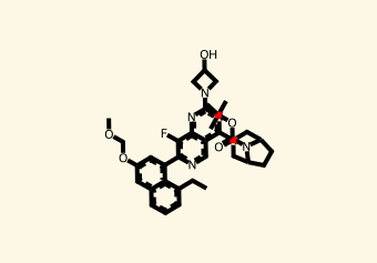 CCc1cccc2cc(OCOC)cc(-c3ncc4c(N5CC6CCC(C5)N6C(=O)OC(C)(C)C)nc(N5CC(O)C5)nc4c3F)c12